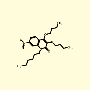 CCCCCCn1c(=O)c(OCCCC)c(OCCCC)c2ccc([N+](=O)[O-])cc21